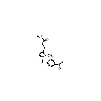 Cn1c(CCC(N)=O)ccc1C(=O)c1ccc([N+](=O)[O-])cc1